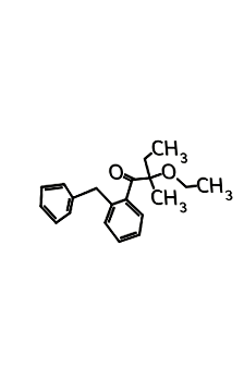 CCOC(C)(CC)C(=O)c1ccccc1Cc1ccccc1